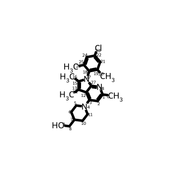 Cc1cc(N2CCC(CO)CC2)c2c(C)c(C)n(-c3c(C)cc(Cl)cc3C)c2n1